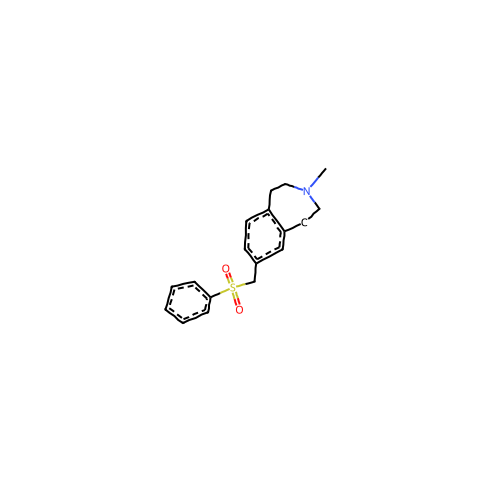 CN1CCc2ccc(CS(=O)(=O)c3ccccc3)cc2CC1